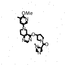 COc1ncc(N2CCc3ncnc(OC4CCN(C(=O)c5cncn5C)C4)c3C2)cc1C